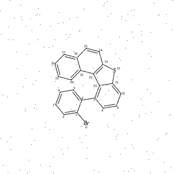 Brc1ccccc1-c1cccc2sc3ccc4ccccc4c3c12